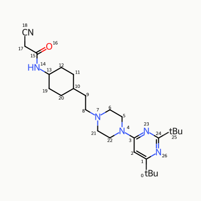 CC(C)(C)c1cc(N2CCN(CCC3CCC(NC(=O)CC#N)CC3)CC2)nc(C(C)(C)C)n1